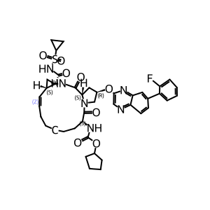 O=C(N[C@H]1CCCCC/C=C\[C@@H]2C[C@@]2(C(=O)NS(=O)(=O)C2CC2)NC(=O)[C@@H]2C[C@@H](Oc3cnc4ccc(-c5ccccc5F)cc4n3)CN2C1=O)OC1CCCC1